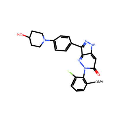 COc1cccc(F)c1-n1nc2c(-c3ccc(N4CCC(O)CC4)cc3)n[nH]c2cc1=O